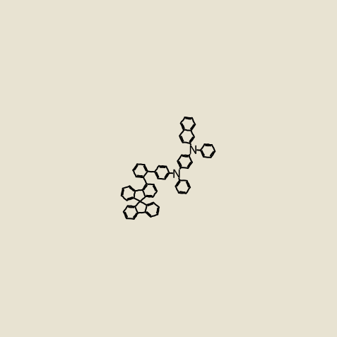 c1ccc(N(c2ccc(-c3ccccc3-c3cccc4c3-c3ccccc3C43c4ccccc4-c4ccccc43)cc2)c2ccc(N(c3ccccc3)c3ccc4ccccc4c3)cc2)cc1